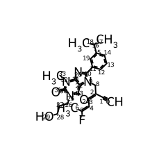 C#C/C(=C\C=C(/C)F)Cn1c(-c2cccc(C(C)C)c2)nc2c1c(=O)n(CCCO)c(=O)n2C